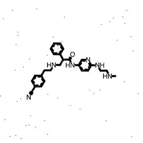 CNCCNc1ccc(NC(=O)C(CNCCc2ccc(C#N)cc2)c2ccccc2)cn1